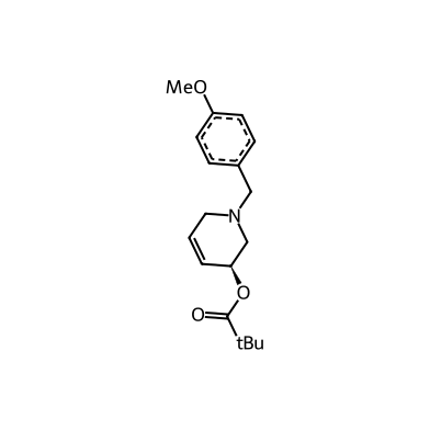 COc1ccc(CN2CC=C[C@H](OC(=O)C(C)(C)C)C2)cc1